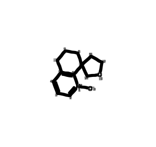 [O-][n+]1cccc2c1C1(CCC2)CCOC1